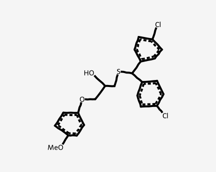 COc1ccc(OCC(O)CSC(c2ccc(Cl)cc2)c2ccc(Cl)cc2)cc1